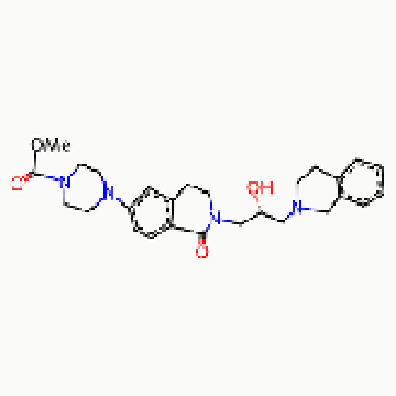 COC(=O)N1CCN(c2ccc3c(c2)CCN(C[C@H](O)CN2CCc4ccccc4C2)C3=O)CC1